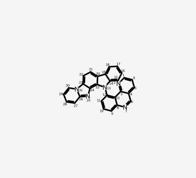 c1cnc2c(c1)cnc1cccc(-n3c4ccccc4c4ccc5c(nc6ccccn65)c43)c12